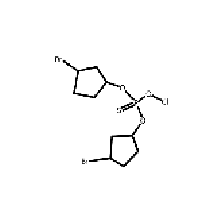 S=P(OCl)(OC1CCC(Br)C1)OC1CCC(Br)C1